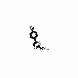 Nc1nc(-c2ccc(Br)cc2)co1